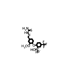 COc1cc(/C=N/NC(N)=S)ccc1Oc1ccc(C(F)(F)F)cc1[NH+]([O-])O